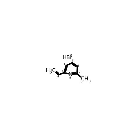 Br.C=Cc1cccc(C)n1